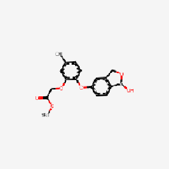 [C-]#[N+]c1ccc(Oc2ccc3c(c2)COB3O)c(OCC(=O)OC(C)(C)C)c1